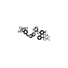 C=C(C)c1ccccc1-c1cc(F)ccc1Oc1cncnc1N1CCC2(CCN(Cc3ccc4[nH]c(=O)[nH]c4c3)C2)C1